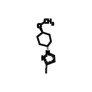 CO[C@H]1CC[C@H](n2ccc(I)n2)CC1